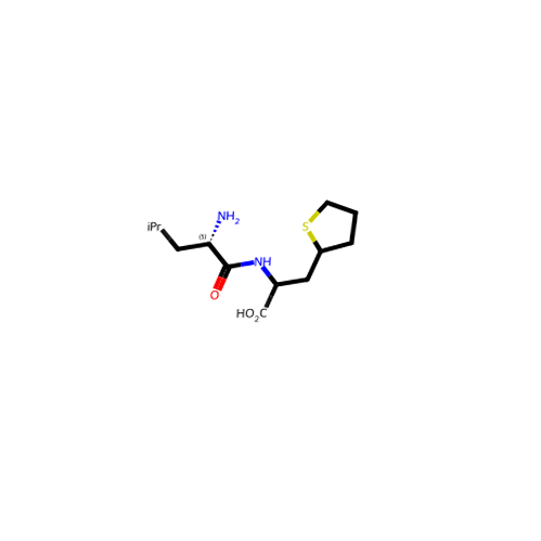 CC(C)C[C@H](N)C(=O)NC(CC1CCCS1)C(=O)O